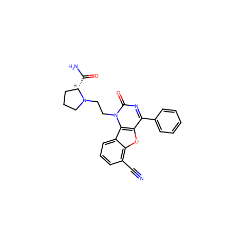 N#Cc1cccc2c1oc1c(-c3ccccc3)nc(=O)n(CCN3CCC[C@@H]3C(N)=O)c12